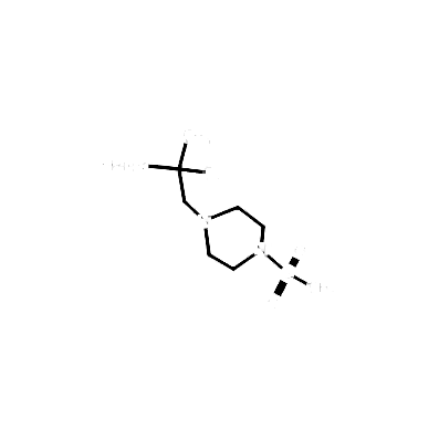 CCCCCCCC(C)(CC)CN1CCN(S(C)(=O)=O)CC1